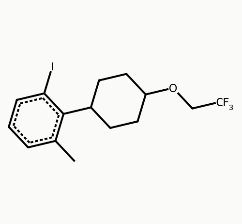 Cc1cccc(I)c1C1CCC(OCC(F)(F)F)CC1